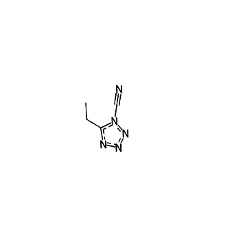 CCc1nnnn1C#N